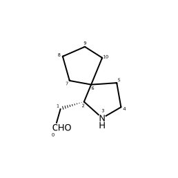 O=CC[C@H]1NCCC12CCCC2